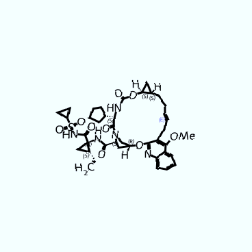 C=C[C@@H]1C[C@]1(NC(=O)[C@@H]1C[C@@H]2CN1C(=O)[C@H](C1CCCC1)NC(=O)O[C@H]1C[C@@H]1CC/C=C/Cc1c(nc3ccccc3c1OC)O2)C(=O)NS(=O)(=O)C1CC1